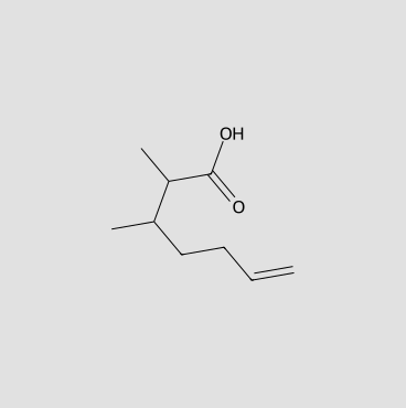 C=CCCC(C)C(C)C(=O)O